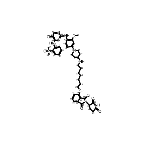 COc1cc(N2CCC(NCCCCCCCSc3cccc4c3C(=O)N(C3CCC(=O)NC3=O)C4=O)CC2)ccc1Nc1ncc(Cl)c(Nc2ccccc2P(C)(C)=O)n1